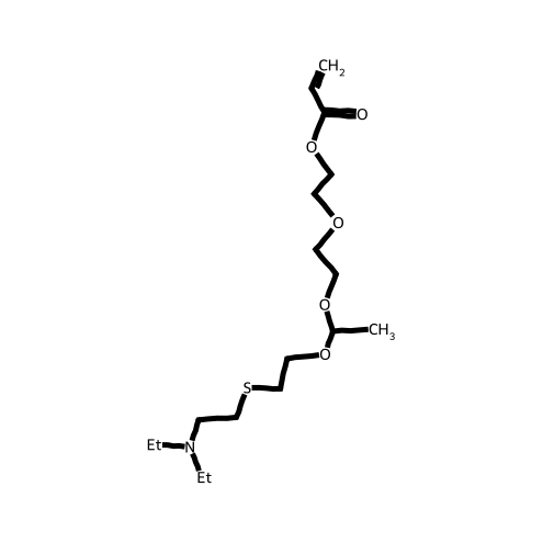 C=CC(=O)OCCOCCOC(C)OCCSCCN(CC)CC